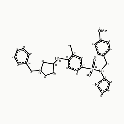 COc1ccc(CN(c2ccsn2)S(=O)(=O)c2cc(C)c(NC3CCN(Cc4ccccc4)C3)cn2)cc1